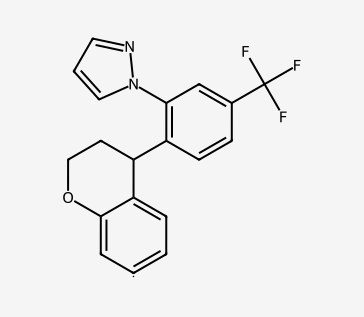 FC(F)(F)c1ccc(C2CCOc3c[c]ccc32)c(-n2cccn2)c1